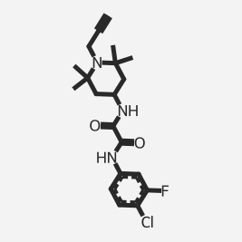 C#CCN1C(C)(C)CC(NC(=O)C(=O)Nc2ccc(Cl)c(F)c2)CC1(C)C